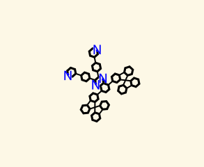 c1cncc(-c2ccc(-c3nc4c(-c5ccc6c(c5)C5(c7ccccc7-c7ccccc75)c5ccccc5-6)ccc(-c5ccc6c(c5)C5(c7ccccc7-c7ccccc75)c5ccccc5-6)c4nc3-c3ccc(-c4cccnc4)cc3)cc2)c1